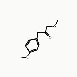 COc1ccc(CC(=O)CSC)cc1